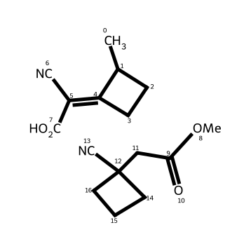 CC1CCC1=C(C#N)C(=O)O.COC(=O)CC1(C#N)CCC1